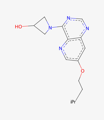 CC(C)CCOc1cnc2c(N3CC(O)C3)ncnc2c1